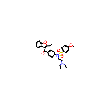 CCc1oc2ccccc2c1C(=O)c1ccc(N(CCN(CC)CC)S(=O)(=O)c2ccc(OC)cc2)cc1